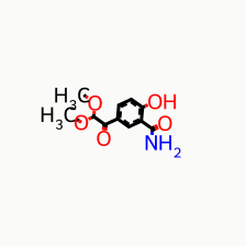 COC(OC)C(=O)c1ccc(O)c(C(N)=O)c1